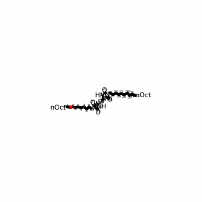 CCCCCCCCC=CCCCCCCCCn1c(=O)[nH]n(SSn2[nH]c(=O)n(CCCCCCCCC=CCCCCCCCC)c2=O)c1=O